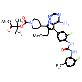 COCc1c(-c2ccc(NC(=O)Nc3cc(C(F)(F)F)ccc3F)c(F)c2)c2c(N)ncnn2c1C1CCN(C(=O)OC(C)(C)C(=O)OC)CC1